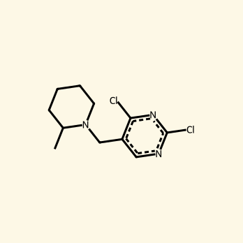 CC1CCCCN1Cc1cnc(Cl)nc1Cl